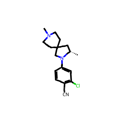 C[C@H]1CC2(CCN(C)CC2)CN1c1ccc(C#N)c(Cl)c1